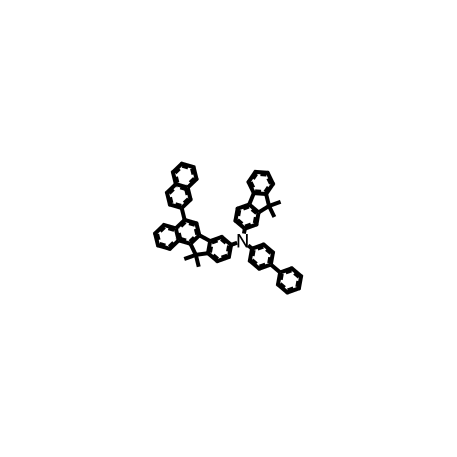 CC1(C)c2ccccc2-c2ccc(N(c3ccc(-c4ccccc4)cc3)c3ccc4c(c3)-c3cc(-c5ccc6ccccc6c5)c5ccccc5c3C4(C)C)cc21